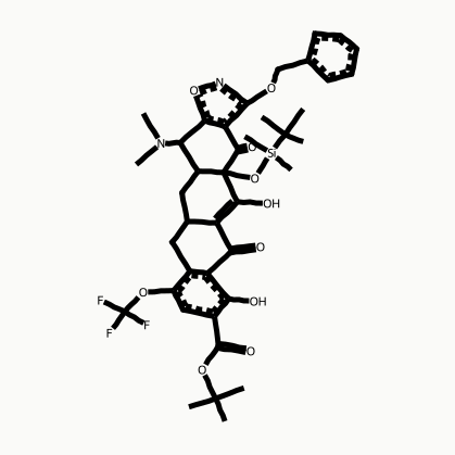 CN(C)C1c2onc(OCc3ccccc3)c2C(=O)C2(O[Si](C)(C)C(C)(C)C)C(O)=C3C(=O)c4c(O)c(C(=O)OC(C)(C)C)cc(OC(F)(F)F)c4CC3CC12